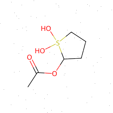 CC(=O)OC1CCCS1(O)O